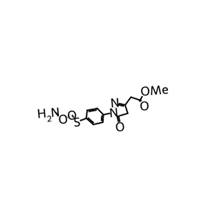 COC(=O)CC1=NN(c2ccc(SOON)cc2)C(=O)C1